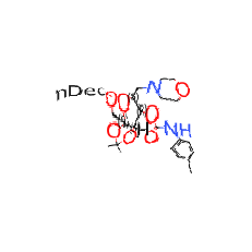 CCCCCCCCCCOC[C@@]12O[C@@H](CN3CCOCC3)[C@@H](OC(=O)Nc3ccc(C)cc3)[C@@H]1OC(C)(C)O2